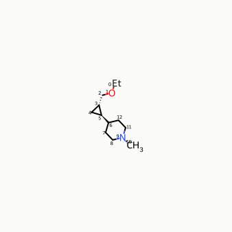 CCOC[C@H]1C[C@@H]1C1CCN(C)CC1